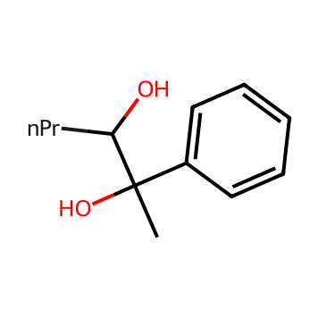 CCCC(O)C(C)(O)c1ccccc1